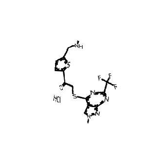 CNCc1ccc(C(=O)CSc2nc(C(F)(F)F)nc3nn(C)cc23)s1.Cl